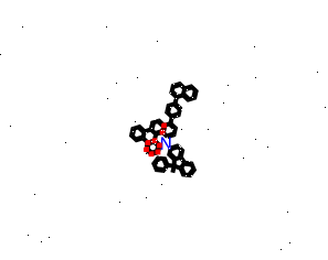 CC1(c2ccccc2)c2ccccc2-c2ccc(N(c3ccc(-c4ccc(-c5cccc6ccccc56)cc4)cc3)c3ccccc3-c3ccccc3-c3ccccc3-c3ccccc3)cc21